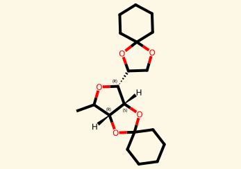 CC1O[C@H](C2COC3(CCCCC3)O2)[C@@H]2OC3(CCCCC3)O[C@H]12